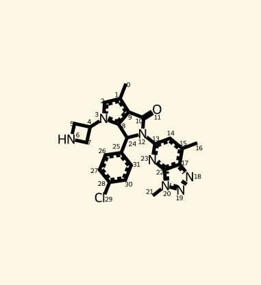 Cc1cn(C2CNC2)c2c1C(=O)N(c1cc(C)c3nnn(C)c3n1)C2c1ccc(Cl)cc1